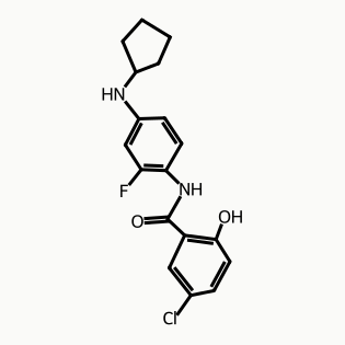 O=C(Nc1ccc(NC2CCCC2)cc1F)c1cc(Cl)ccc1O